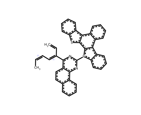 C=C/C(=C\C=C/C)c1nc(-n2c3ccccc3c3c4ccccc4c4c5ccccc5sc4c32)nc2c1ccc1ccccc12